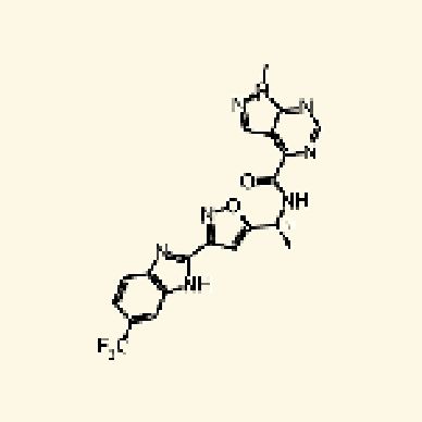 C[C@H](NC(=O)c1ncnc2c1cnn2C)c1cc(-c2nc3ccc(C(F)(F)F)cc3[nH]2)no1